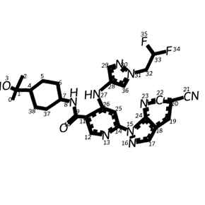 CC(C)(O)C1CCC(NC(=O)c2cnc(-n3ncc4cc(C#N)cnc43)cc2Nc2cnn(CC(F)F)c2)CC1